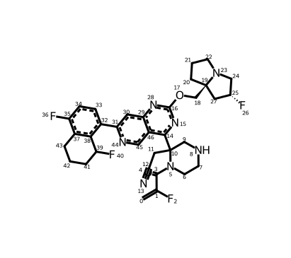 C=C(F)C(=O)N1CCNCC1(CC#N)c1nc(OC[C@@]23CCCN2C[C@H](F)C3)nc2cc(-c3ccc(F)c4c3C(F)CCC4)ncc12